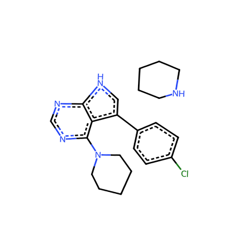 C1CCNCC1.Clc1ccc(-c2c[nH]c3ncnc(N4CCCCC4)c23)cc1